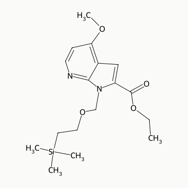 CCOC(=O)c1cc2c(OC)ccnc2n1COCC[Si](C)(C)C